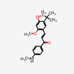 COc1cc(O)c(C(C)(C)C)cc1/C=C/C(=O)c1ccc([AsH]C)cc1